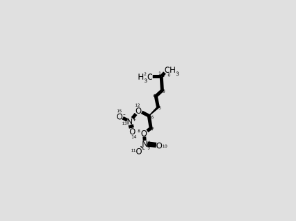 C[C](C)CCC[C@@H](CO[N+](=O)[O-])O[N+](=O)[O-]